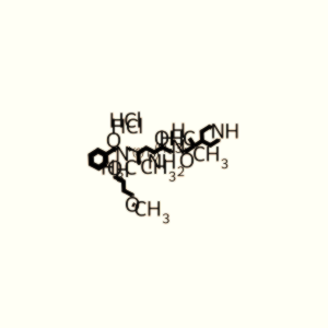 COCCCCOc1ccccc1C(=O)NC[C@@H](C[C@H](N)[C@@H](O)CNC(=O)C(C)(C)C1CCNCC1)C(C)C.Cl.Cl